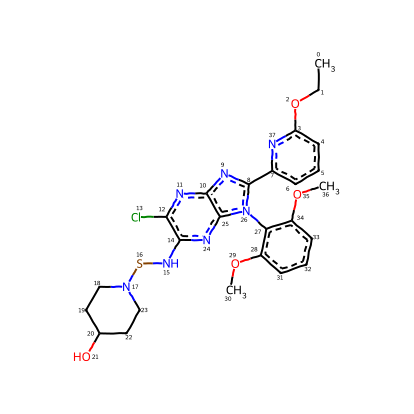 CCOc1cccc(-c2nc3nc(Cl)c(NSN4CCC(O)CC4)nc3n2-c2c(OC)cccc2OC)n1